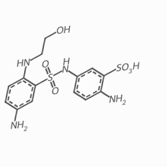 Nc1ccc(NCCO)c(S(=O)(=O)Nc2ccc(N)c(S(=O)(=O)O)c2)c1